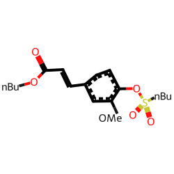 CCCCOC(=O)C=Cc1ccc(OS(=O)(=O)CCCC)c(OC)c1